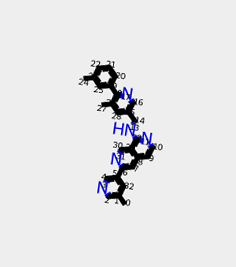 Cc1cncc(-c2cc3ccnc(NCc4cnc(-c5cccc(C)c5)c(C)c4)c3cn2)c1